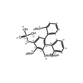 CCCCCCCCCc1ccccc1-c1cc(OP(=O)(O)O)c(CCCCCCCCC)c(CCCCCCCCC)c1-c1ccccc1CCCCCCCCC